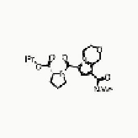 CNC(=O)c1cc(C(=O)N2CCC[C@@H]2C(=O)OC(C)C)n2c1COCC2